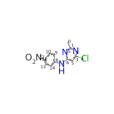 Cc1nc(Cl)cc(Nc2ccc([N+](=O)[O-])cc2)n1